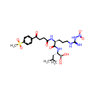 CC(C)C[C@H](NC(=O)[C@H](CCCNC(=N)N[N+](=O)[O-])NC(=O)CCC(=O)c1ccc(S(C)(=O)=O)cc1)B(O)O